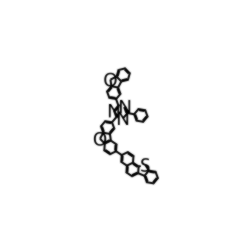 c1ccc(-c2nc(-c3ccc4oc5ccccc5c4c3)nc(-c3ccc4oc5ccc(-c6ccc7c(ccc8c9ccccc9sc78)c6)cc5c4c3)n2)cc1